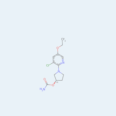 NC(=O)O[C@@H]1CCN(c2ncc(OCC(F)(F)F)cc2Cl)C1